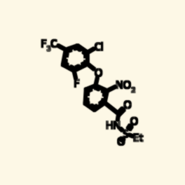 CCS(=O)(=O)NC(=O)c1cccc(Oc2c(F)cc(C(F)(F)F)cc2Cl)c1[N+](=O)[O-]